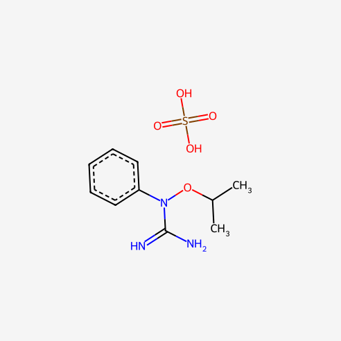 CC(C)ON(C(=N)N)c1ccccc1.O=S(=O)(O)O